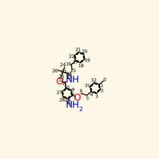 Cc1ccc(CCOc2cc(C(=O)N[C@@H](CCc3ccccc3)C(C)(C)C)ccc2N)cc1